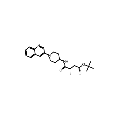 C[C@@H](CC(=O)OC(C)(C)C)C(=O)NC1CCN(c2cnc3ccccc3c2)CC1